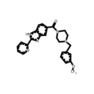 O=C(c1ccc2[nH]c(-c3ccccn3)nc2c1)N1CCN(Cc2cccc(OC(F)(F)F)c2)CC1